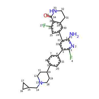 Nc1nc(F)c(-c2ccc(C3CCN(CC4CC4)CC3)cc2)cc1-c1cc(F)c2c(c1)CCNC2=O